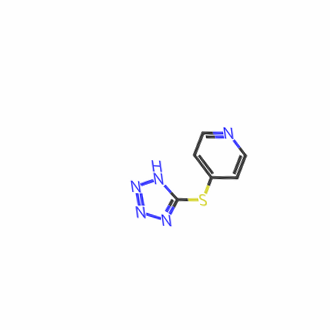 c1cc(Sc2nnn[nH]2)ccn1